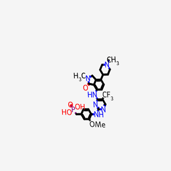 COc1cc(CP(=O)(O)O)ccc1Nc1ncc(C(F)(F)F)c(Nc2ccc(C3CCN(C)CC3)c3c2C(=O)N(C)C3)n1